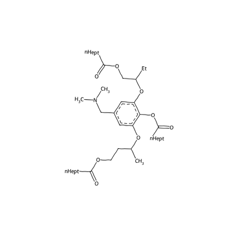 CCCCCCCC(=O)OCCC(C)Oc1cc(CN(C)C)cc(OC(CC)COC(=O)CCCCCCC)c1OC(=O)CCCCCCC